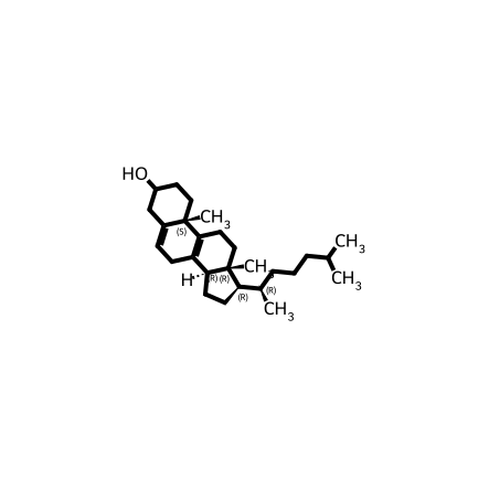 CC(C)CCC[C@@H](C)[C@H]1CC[C@H]2C3=C(CC[C@]12C)[C@@]1(C)CCC(O)CC1=CC3